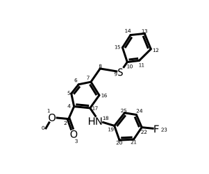 COC(=O)c1ccc(CSc2ccccc2)cc1Nc1ccc(F)cc1